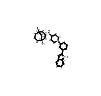 c1cc(-c2cc3ccccc3[nH]2)cc(N2CCC(N[C@@H]3C[C@@H]4CCC[C@@H](CC4)C3)CC2)c1